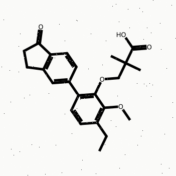 CCc1ccc(-c2ccc3c(c2)CCC3=O)c(OCC(C)(C)C(=O)O)c1OC